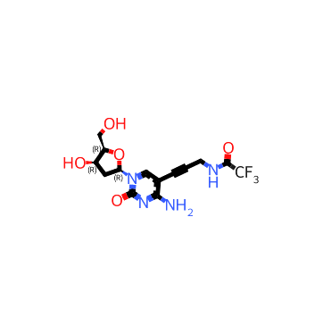 Nc1nc(=O)n([C@H]2C[C@@H](O)[C@@H](CO)O2)cc1C#CCNC(=O)C(F)(F)F